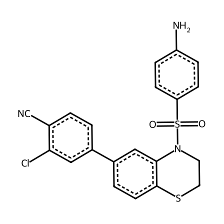 N#Cc1ccc(-c2ccc3c(c2)N(S(=O)(=O)c2ccc(N)cc2)CCS3)cc1Cl